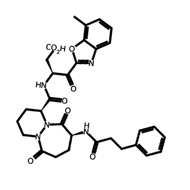 Cc1cccc2nc(C(=O)[C@H](CC(=O)O)NC(=O)[C@@H]3CCCN4C(=O)CC[C@H](NC(=O)CCc5ccccc5)C(=O)N34)oc12